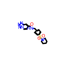 O=C(NCc1ccc(S(=O)(=O)N2CCCCC2)cc1)c1ccn2nnnc2c1